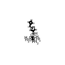 CC(C)(P)C(C)(C)OBc1cnn(CC2CCC2)c1